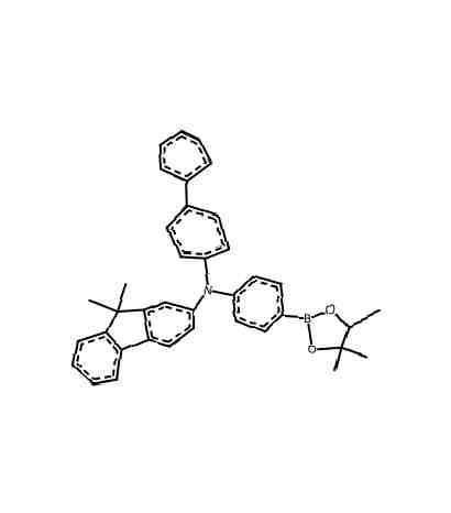 CC1OB(c2ccc(N(c3ccc(-c4ccccc4)cc3)c3ccc4c(c3)C(C)(C)c3ccccc3-4)cc2)OC1(C)C